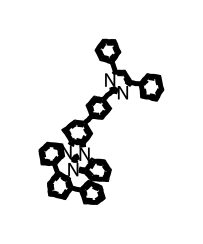 c1ccc(-c2cc(-c3ccccc3)nc(-c3ccc(-c4ccc5nc6n(-c7c(-c8ccccc8)cccc7-c7ccccc7)c7ccccc7n6c5c4)cc3)n2)cc1